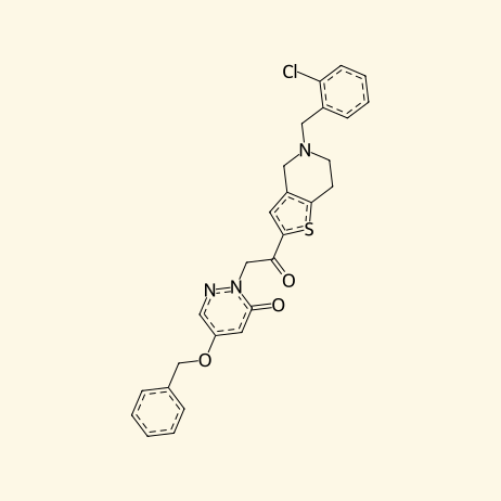 O=C(Cn1ncc(OCc2ccccc2)cc1=O)c1cc2c(s1)CCN(Cc1ccccc1Cl)C2